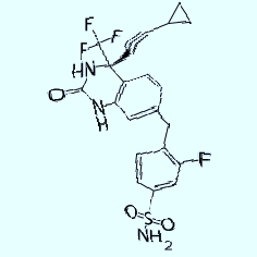 NS(=O)(=O)c1ccc(Cc2ccc3c(c2)NC(=O)N[C@]3(C#CC2CC2)C(F)(F)F)c(F)c1